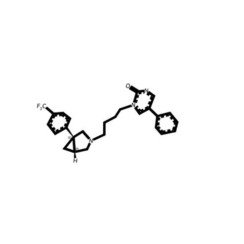 O=c1ncc(-c2ccccc2)cn1CCCCN1C[C@@H]2C[C@]2(c2ccc(C(F)(F)F)cc2)C1